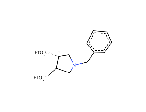 CCOC(=O)C1CN(Cc2ccccc2)C[C@H]1C(=O)OCC